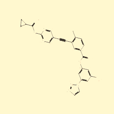 Cc1ccc(C(=O)Nc2cc(-n3ccnn3)cc(C(F)(F)F)c2)cc1C#Cc1cnc(NC(=O)C2CC2)nc1